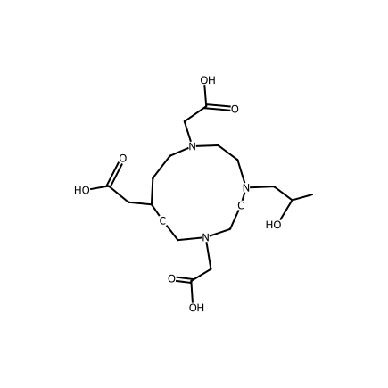 CC(O)CN1CCN(CC(=O)O)CCC(CC(=O)O)CCN(CC(=O)O)CC1